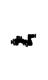 CCCc1c(OCCOCCOCCOc2c(C(C)=O)ccc3cc(OCC(=O)O)ccc23)ccc(C(C)=O)c1O